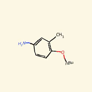 CCCCOc1ccc(N)cc1C